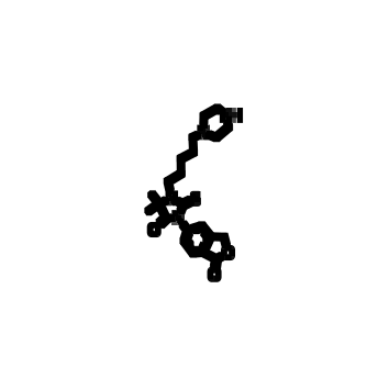 CC1(C)C(=O)N(c2ccc3c(c2)COC3=O)C(=S)N1CCCCCN1CCNCC1